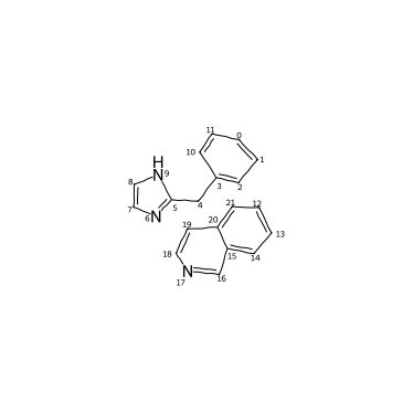 c1ccc(Cc2ncc[nH]2)cc1.c1ccc2cnccc2c1